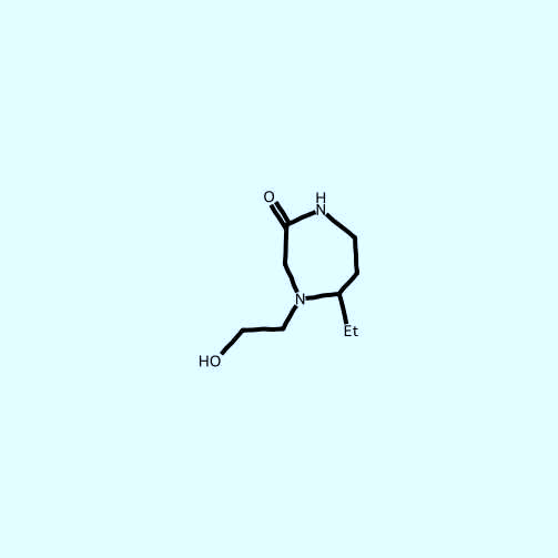 CCC1CCNC(=O)CN1CCO